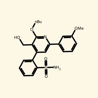 CCCCOc1nc(-c2cccc(OC)c2)cc(-c2ccccc2S(N)(=O)=O)c1CO